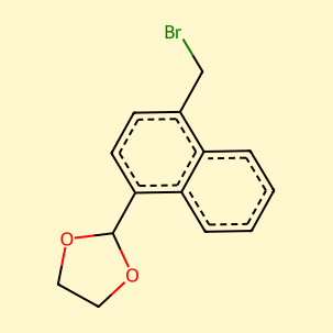 BrCc1ccc(C2OCCO2)c2ccccc12